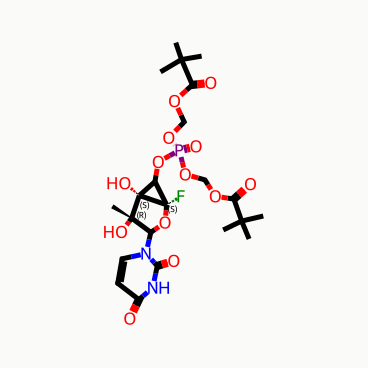 CC(C)(C)C(=O)OCOP(=O)(OCOC(=O)C(C)(C)C)OC1[C@]2(O)[C@@](C)(O)C(n3ccc(=O)[nH]c3=O)O[C@]12F